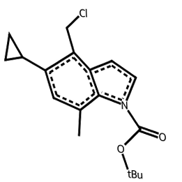 Cc1cc(C2CC2)c(CCl)c2ccn(C(=O)OC(C)(C)C)c12